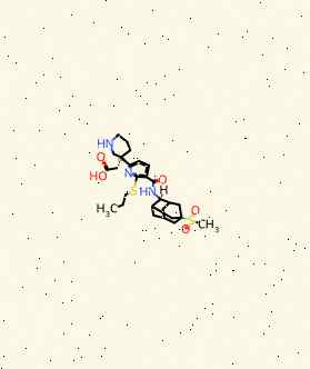 CCCSc1nc([C@]2(CC(=O)O)CCCNC2)ccc1C(=O)N[C@H]1C2CC3CC1C[C@@](S(C)(=O)=O)(C3)C2